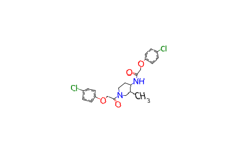 CC1CN(C(=O)COc2ccc(Cl)cc2)CCC1NC(=O)COc1ccc(Cl)cc1